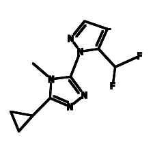 Cn1c(C2CC2)nnc1-n1nc[c]c1C(F)F